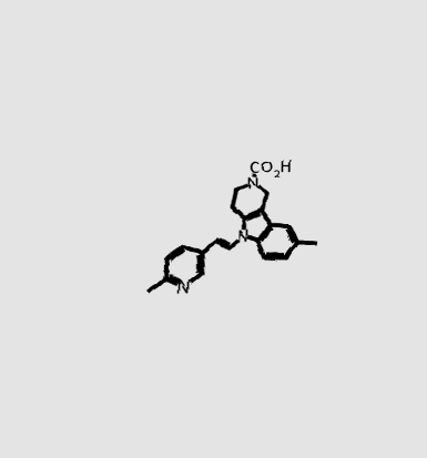 Cc1ccc2c(c1)c1c(n2C=Cc2ccc(C)nc2)CCN(C(=O)O)C1